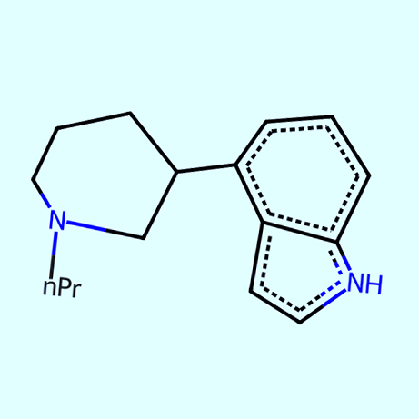 CCCN1CCCC(c2cccc3[nH]ccc23)C1